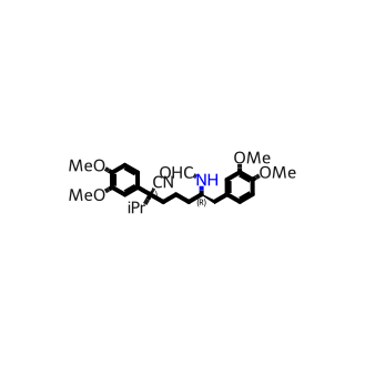 COc1ccc(C[C@@H](CCC[C@@](C#N)(c2ccc(OC)c(OC)c2)C(C)C)NC=O)cc1OC